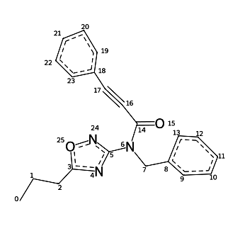 CCCc1nc(N(Cc2ccccc2)C(=O)C#Cc2ccccc2)no1